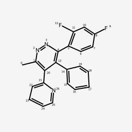 Cc1nnc(-c2ccc(F)cc2F)c(-c2ccccc2)c1-c1ccccn1